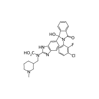 CN1CCCC(CN(C(=O)O)c2nc3ccc(C4(O)c5ccccc5C(=O)N4c4cccc(Cl)c4F)cc3[nH]2)C1